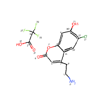 NCCc1cc(=O)oc2cc(O)c(Cl)cc12.O=C(O)C(F)(F)F